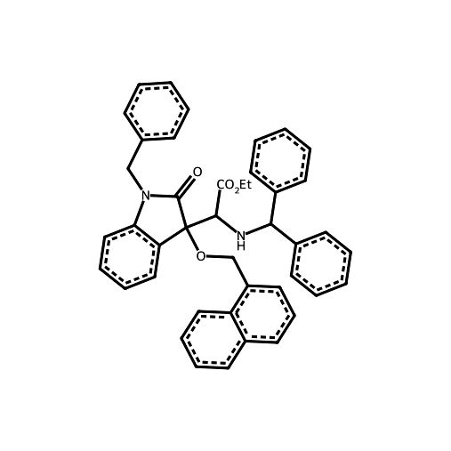 CCOC(=O)C(NC(c1ccccc1)c1ccccc1)C1(OCc2cccc3ccccc23)C(=O)N(Cc2ccccc2)c2ccccc21